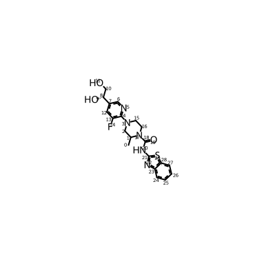 CC1CN(c2ncc([C@H](O)CO)cc2F)CCN1C(=O)Nc1nc2ccccc2s1